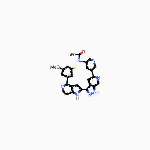 CCCC(=O)Nc1cncc(-c2cc3c(-c4cc5c(-c6cc(F)cc(OC)c6)nccc5[nH]4)n[nH]c3cn2)c1